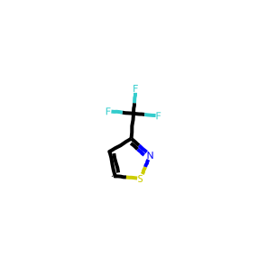 FC(F)(F)c1c[c]sn1